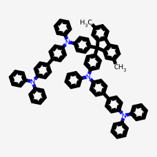 Cc1ccc2c(c1)C(c1ccc(N(c3ccccc3)c3ccc(-c4ccc(N(c5ccccc5)c5ccccc5)cc4)cc3)cc1)(c1ccc(N(c3ccccc3)c3ccc(-c4ccc(N(c5ccccc5)c5ccccc5)cc4)cc3)cc1)c1cc(C)ccc1-2